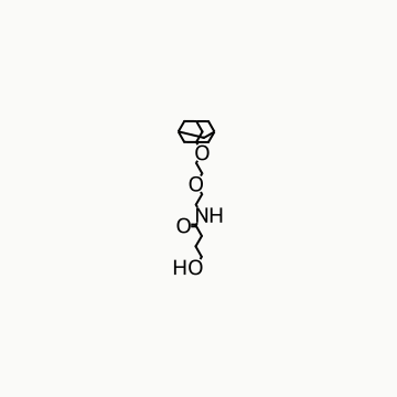 O=C(CCCO)NCCOCCOC12CC3CC(CC(C3)C1)C2